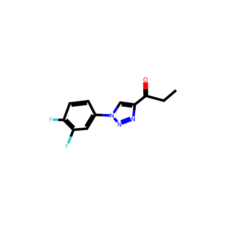 CCC(=O)c1cn(-c2ccc(F)c(F)c2)nn1